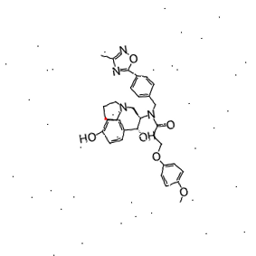 COc1ccc(OCCC(=O)N(Cc2ccc(-c3nc(C)no3)cc2)[C@H](CN2CCCC2)[C@H](O)c2ccc(O)cc2)cc1